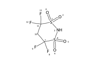 O=S1(=O)NS(=O)(=O)C(F)(F)CC1(F)F